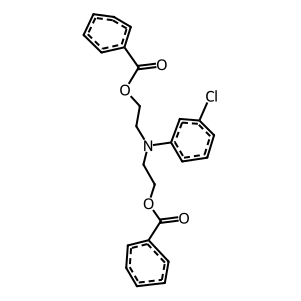 O=C(OCCN(CCOC(=O)c1ccccc1)c1cccc(Cl)c1)c1ccccc1